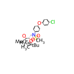 COC(=O)[C@H](CN(c1ccc(Oc2ccc(Cl)cc2)cc1)S(C)(=O)=O)O[Si](C)(C)C(C)(C)C